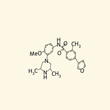 COc1ccc(NS(=O)(=O)c2ccc(-c3ccoc3)cc2C)cc1N1CC(C)NC(C)C1